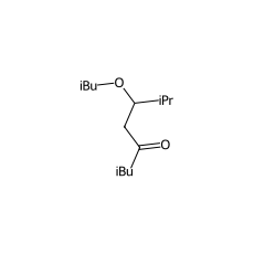 CCC(C)OC(CC(=O)C(C)CC)C(C)C